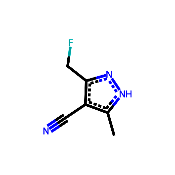 Cc1[nH]nc(CF)c1C#N